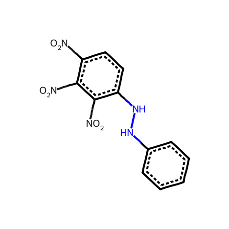 O=[N+]([O-])c1ccc(NNc2ccccc2)c([N+](=O)[O-])c1[N+](=O)[O-]